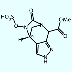 COC(=O)C1c2n[nH]cc2[C@H]2CN1C(=O)N2OS(=O)(=O)O